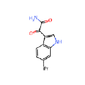 CC(C)c1ccc2c(C(=O)C(N)=O)c[nH]c2c1